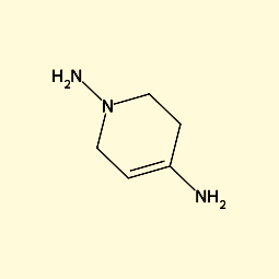 NC1=CCN(N)CC1